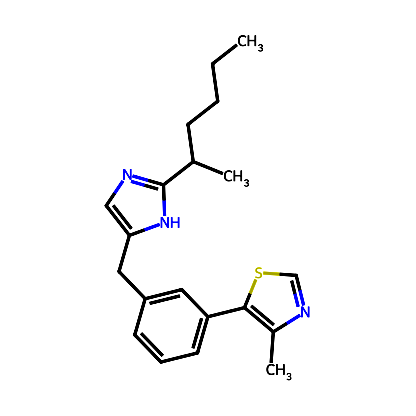 CCCCC(C)c1ncc(Cc2cccc(-c3scnc3C)c2)[nH]1